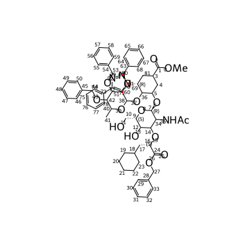 COC(=O)C1CC(O[C@@H]2O[C@@H](CO)C(O)C(O[C@@H](CC3CCCCC3)C(=O)OCc3ccccc3)C2NC(C)=O)C(OC2OC(C)C(OCc3ccccc3)C(OCc3ccccc3)C2OCc2ccccc2)[C@H](n2cc(-c3ccccc3)nn2)C1